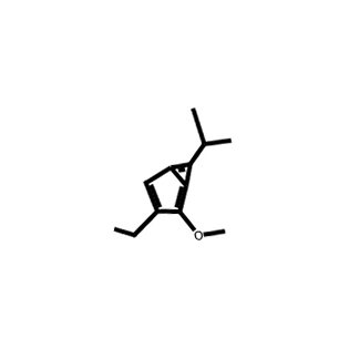 CCc1cc2c(C(C)C)c-2c1OC